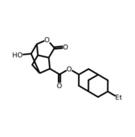 CCC1CC2CC(C1)CC(OC(=O)C1C3CC4C(OC(=O)C41)C3O)C2